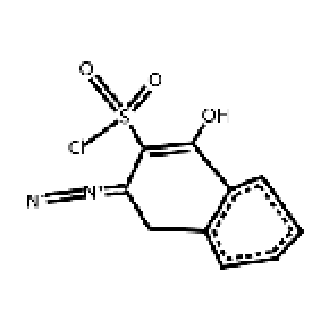 [N-]=[N+]=C1Cc2ccccc2C(O)=C1S(=O)(=O)Cl